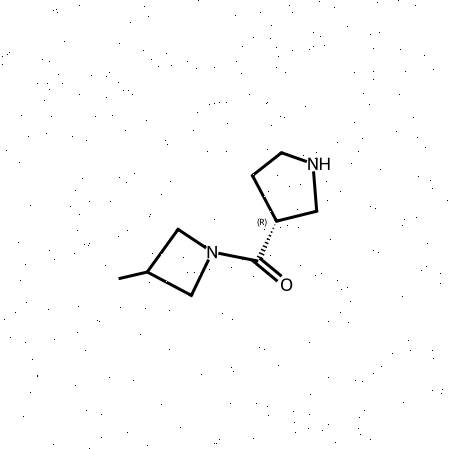 CC1CN(C(=O)[C@@H]2CCNC2)C1